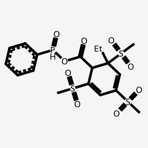 CCC1(S(C)(=O)=O)C=C(S(C)(=O)=O)C=C(S(C)(=O)=O)C1C(=O)O[PH](=O)c1ccccc1